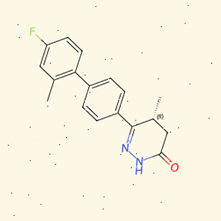 Cc1cc(F)ccc1-c1ccc(C2=NNC(=O)C[C@H]2C)cc1